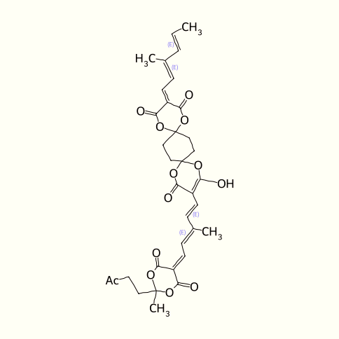 C/C=C/C(C)=C/C=C1C(=O)OC2(CCC3(CC2)OC(=O)C(/C=C/C(C)=C/C=C2C(=O)OC(C)(CCC(C)=O)OC2=O)=C(O)O3)OC1=O